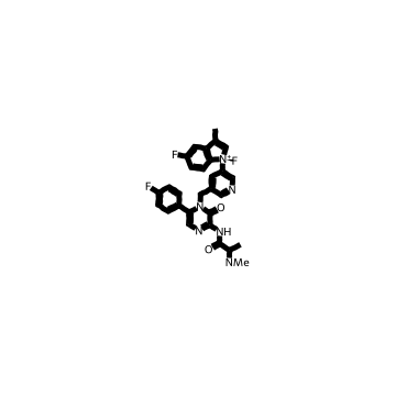 CNC(C)C(=O)Nc1ncc(-c2ccc(F)cc2)n(Cc2cncc([N@+]3(F)C=C(C)c4cc(F)ccc43)c2)c1=O